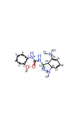 COc1ccccc1NC(=O)NC1=NN(C)C2C=CC=C(N(C)C)C12